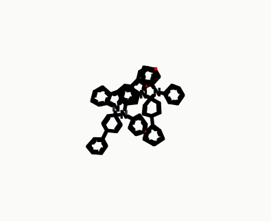 C1=CC(N(c2ccccc2)c2ccccc2)(n2c3ccccc3c3cc4c5ccccc5n(C5(N(c6ccccc6)c6ccccc6)C=CC(c6ccccc6)C=C5)c4cc32)C=CC1c1ccccc1